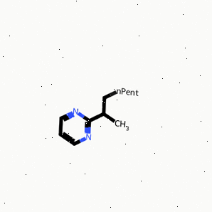 CCCCCCC(C)c1ncccn1